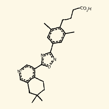 Cc1cc(-c2noc(-c3cncc4c3CCC(C)(C)C4)n2)cc(C)c1CCCC(=O)O